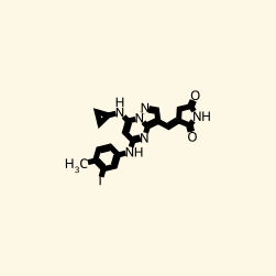 Cc1ccc(Nc2cc(NC3CC3)n3ncc(/C=C4\CC(=O)NC4=O)c3n2)cc1I